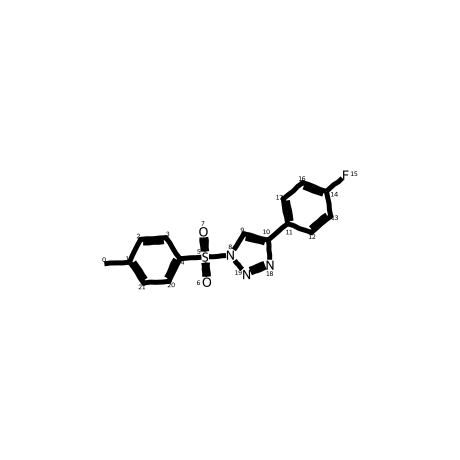 Cc1ccc(S(=O)(=O)n2cc(-c3ccc(F)cc3)nn2)cc1